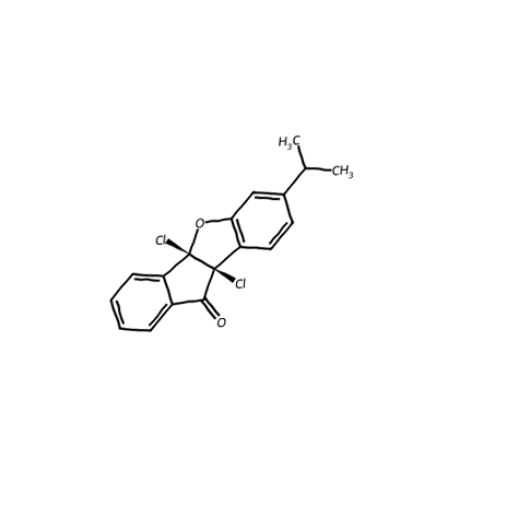 CC(C)c1ccc2c(c1)O[C@@]1(Cl)c3ccccc3C(=O)[C@@]21Cl